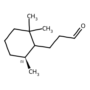 C[C@H]1CCCC(C)(C)C1CCC=O